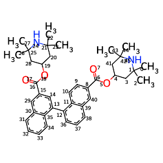 CC1(C)CC(OC(=O)c2ccc3c(-c4cc(C(=O)OC5CC(C)(C)NC(C)(C)C5)cc5ccccc45)cccc3c2)CC(C)(C)N1